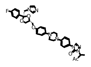 CC(=O)C(C)n1ncn(-c2ccc(N3CCN(c4ccc(OC[C@@H]5CO[C@@](Cn6ccnc6)(c6ccc(F)cc6)O5)cc4)CC3)cc2)c1=O